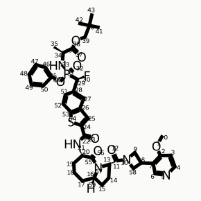 COc1ccncc1C1CN(C(=O)[C@@H]2CC[C@@H]3CCC[C@H](NC(=O)c4cc5cc([C@H](F)[P@](=O)(N[C@@H](C)C(=O)OCC(C)(C)C)Oc6ccccc6)ccc5s4)C(=O)N32)C1